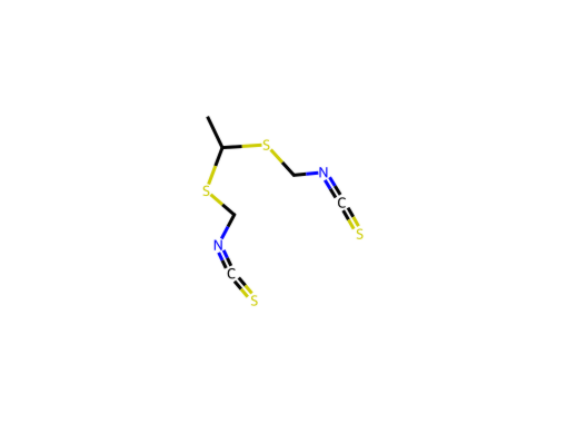 CC(SCN=C=S)SCN=C=S